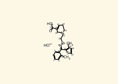 Cc1ccccc1/C(=N/OCCN1CCC=C(C(=O)O)C1)c1sccc1C.Cl